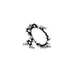 CO[C@H]1C[C@@H]2CC[C@@H](C)[C@@](O)(O2)C(=O)C(=O)N2CCCC[C@H]2C(=O)O[C@H]([C@H](C)C[C@@H]2CC[C@@H](O)[C@H](OC)C2)CC[C@](C)(C=O)/C=C(\C)[C@@H](O)[C@@H](OC)C(=O)[C@H](C)C[C@H](C)/C=C/C=C/C=C/1C